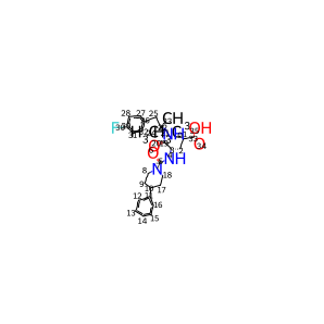 C[C@@H](C[C@H](NC(=O)N1CCC(c2ccccc2)CC1)C(=O)NC(C)(C)Cc1ccc(F)cc1)C(=O)O